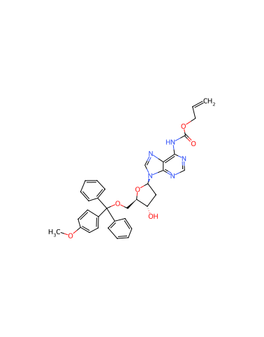 C=CCOC(=O)Nc1ncnc2c1ncn2[C@H]1C[C@H](O)[C@@H](COC(c2ccccc2)(c2ccccc2)c2ccc(OC)cc2)O1